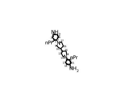 CCCc1cc(N)ccc1N1CCC(C2CCN(c3ccc(N)cc3CCC)CC2)CC1